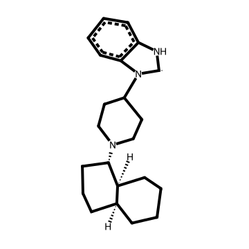 [CH]1Nc2ccccc2N1C1CCN([C@H]2CCC[C@@H]3CCCC[C@@H]32)CC1